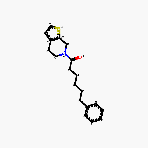 O=C(CCCCCc1ccccc1)N1CCc2ccsc2C1